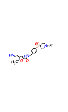 C=c1oc(C(=O)NCc2ccc([S+]([O-])C3CCN(CCC)CC3)cc2)c/c1=C/C=N